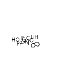 CC(C)C[C@@H](C(=O)O)N(Cc1ccc2ccccc2c1)C(=O)C(F)(F)F.[LiH]